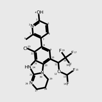 Cc1nc(O)ccc1-c1cc(C(OC(F)F)C(F)(F)F)c2c(c1Cl)NC1=NCCCN12